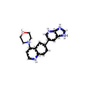 c1cc(N2CCOCC2)c2cc(-c3cnc4nc[nH]c4c3)ccc2n1